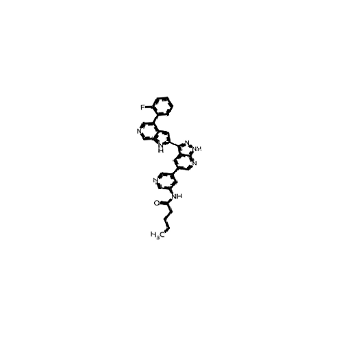 CCCCC(=O)Nc1cncc(-c2cnc3[nH]nc(-c4cc5c(-c6ccccc6F)cncc5[nH]4)c3c2)c1